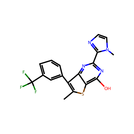 Cc1sc2c(O)nc(-c3nccn3C)nc2c1-c1cccc(C(F)(F)F)c1